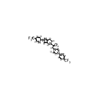 C[C@@H]1CN(c2ccc(C(F)(F)F)cn2)C[C@H](C)N1CC(=O)N1CCc2nn(-c3ccc(C(F)(F)F)cn3)cc2C1